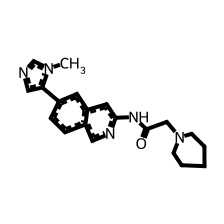 Cn1cncc1-c1ccc2cnc(NC(=O)CN3CCCCC3)cc2c1